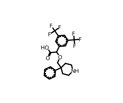 O=C(O)C(OCC1(c2ccccc2)CCNCC1)c1cc(C(F)(F)F)cc(C(F)(F)F)c1